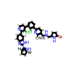 COc1nc(-c2cccc(-c3ccnc(-c4ccc5nc([C@@H]6N[C@H]7CC[C@@H]6C7)[nH]c5c4)c3Cl)c2Cl)ccc1CNCC1CCC(=O)N1